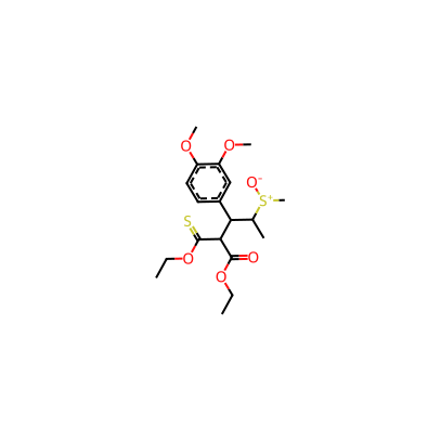 CCOC(=O)C(C(=S)OCC)C(c1ccc(OC)c(OC)c1)C(C)[S+](C)[O-]